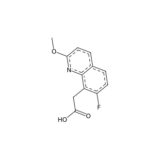 COc1ccc2ccc(F)c(CC(=O)O)c2n1